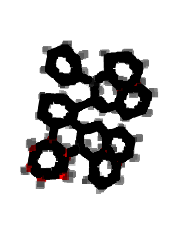 C(=C(c1cccc(-c2ccccc2)c1C(=Cc1ccccc1)N(c1ccccc1)c1ccccc1)N(c1ccccc1)c1ccccc1)c1ccccc1